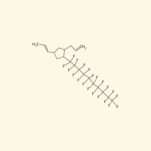 C=CCC1CC(/C=C/C)CC1C(F)(F)C(F)(F)C(F)(F)C(F)(F)C(F)(F)C(F)(F)C(F)(F)C(F)(F)C(F)(F)C(F)(F)F